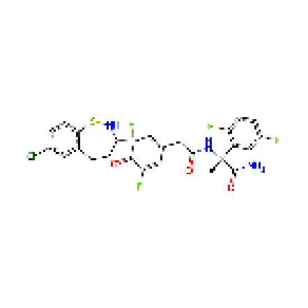 C[C@](NC(=O)CC1=CC(F)(C2CCc3cc(Cl)ccc3SN2)C(=O)C(F)=C1)(C(N)=O)c1cc(F)ccc1F